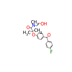 CN(CCO)C(=O)C(C)(C)Oc1ccc(C(=O)c2ccc(F)cc2)cc1